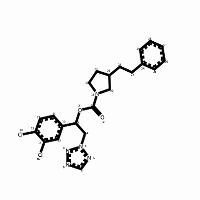 O=C(OC(Cn1ncnn1)c1ccc(Cl)c(Cl)c1)N1CCC(CCc2ccccc2)C1